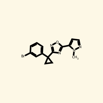 Cn1nccc1-c1nc(C2(c3cccc(Br)c3)CC2)no1